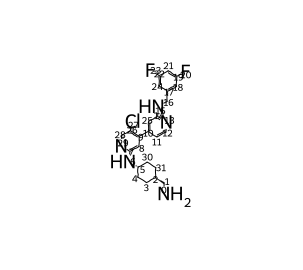 NC[C@H]1CC[C@H](Nc2cc(-c3ccnc(NCc4cc(F)cc(F)c4)c3)c(Cl)cn2)CC1